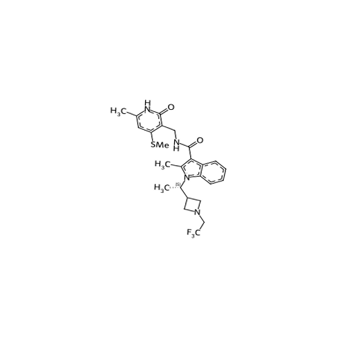 CSc1cc(C)[nH]c(=O)c1CNC(=O)c1c(C)n([C@@H](C)C2CN(CC(F)(F)F)C2)c2ccccc12